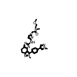 COCCN(C)C(=O)Cn1ccc(Nc2ncc3c(n2)-c2c(nn(C)c2-c2ccc(-c4cnn(C)c4)cc2)CC3)n1